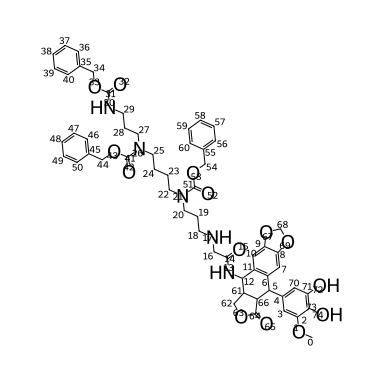 COc1cc(C2c3cc4c(cc3C(NC(=O)CNCCCN(CCCCN(CCCNC(=O)OCc3ccccc3)C(=O)OCc3ccccc3)C(=O)OCc3ccccc3)C3COC(=O)C23)OCO4)cc(O)c1O